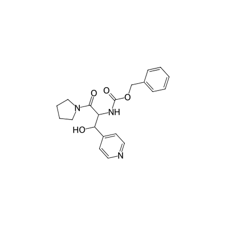 O=C(NC(C(=O)N1CCCC1)C(O)c1ccncc1)OCc1ccccc1